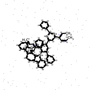 C=C/C=C(\C=C)c1cc(-c2cc(C(/C=C\C)=C/C)nc(-c3ccccc3)n2)cc(-c2ccccc2)c1-n1c2ccccc2c2ccc3c4ccccc4n(-c4ccccc4)c3c21